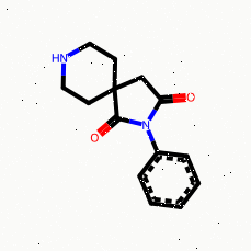 O=C1CC2(CCNCC2)C(=O)N1c1ccccc1